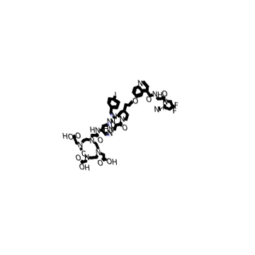 N#C[C@H]1CC(F)(F)CN1C(=O)CNC(=O)c1ccnc2ccc(OCCCC3CCN(C(=O)CCN/N=C\C(C/C=N/N/N=C/c4ccc(I)cc4)NC(=O)CN4CCN(CC(=O)O)CCN(CC(=O)O)CCN(CC(=O)O)CC4)CC3)cc12